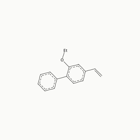 C=Cc1ccc(-c2ccccc2)c(OCC)c1